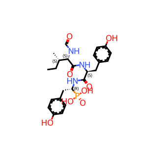 CC[C@H](C)[C@H](NC=O)C(=O)N[C@@H](Cc1ccc(O)cc1)C(=O)N[C@@H](Cc1ccc(O)cc1)P(=O)(O)O